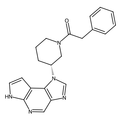 O=C(Cc1ccccc1)N1CCC[C@@H](n2cnc3cnc4[nH]ccc4c32)C1